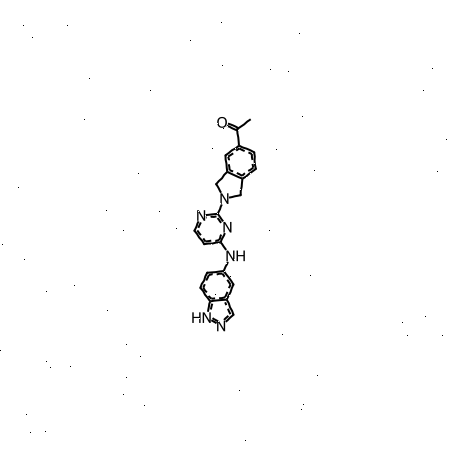 CC(=O)c1ccc2c(c1)CN(c1nccc(Nc3ccc4[nH]ncc4c3)n1)C2